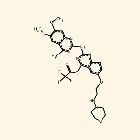 COc1cc2nc(Nc3nc(OC(=O)C(F)(F)F)c4cc(OCCNN5CCOCC5)ccc4n3)nc(C)c2cc1OC